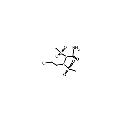 CS(=O)(=O)N(CCCl)N(C(N)=O)S(C)(=O)=O